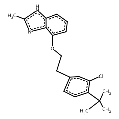 Cc1nc2c(OCCc3ccc(C(C)(C)C)c(Cl)c3)cccc2[nH]1